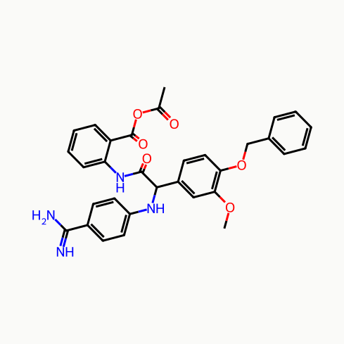 COc1cc(C(Nc2ccc(C(=N)N)cc2)C(=O)Nc2ccccc2C(=O)OC(C)=O)ccc1OCc1ccccc1